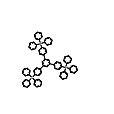 c1ccc(S(c2ccccc2)(c2ccccc2)c2ccc(-c3cc(-c4ccc(S(c5ccccc5)(c5ccccc5)c5ccccc5)cc4)cc(-c4ccc(S(c5ccccc5)(c5ccccc5)c5ccccc5)cc4)c3)cc2)cc1